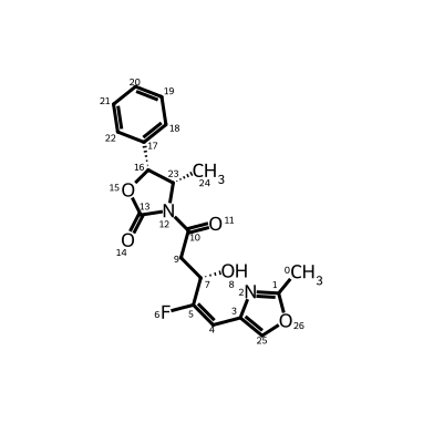 Cc1nc(/C=C(/F)[C@@H](O)CC(=O)N2C(=O)O[C@H](c3ccccc3)[C@@H]2C)co1